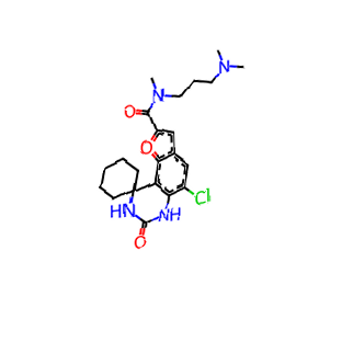 CN(C)CCCN(C)C(=O)c1cc2cc(Cl)c3c(c2o1)C1(CCCCC1)NC(=O)N3